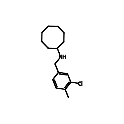 Cc1ccc(CNC2CCCCCCC2)cc1Cl